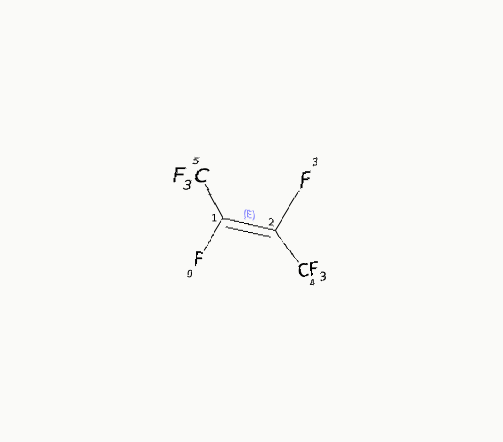 F/C(=C(/F)C(F)(F)F)C(F)(F)F